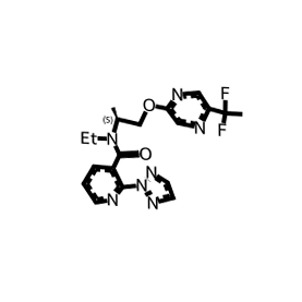 CCN(C(=O)c1cccnc1-n1nccn1)[C@@H](C)COc1cnc(C(C)(F)F)cn1